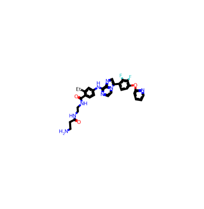 CCc1cc(Nc2nccn3c(-c4ccc(Oc5ccccn5)c(F)c4F)cnc23)ccc1C(=O)NCCNC(=O)CCN